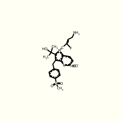 CC(C)(O)c1c(Cc2ccc(S(C)(=O)=O)cc2)c2ncccc2n1CC(F)=CCN.Cl.Cl